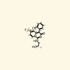 C[C@H](O)CNc1nc(=O)c(-c2ccccc2Cl)c2cc(C(F)(F)F)ccn12